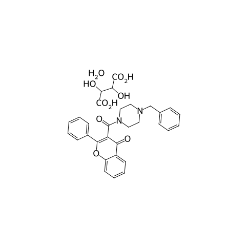 O.O=C(O)C(O)C(O)C(=O)O.O=C(c1c(-c2ccccc2)oc2ccccc2c1=O)N1CCN(Cc2ccccc2)CC1